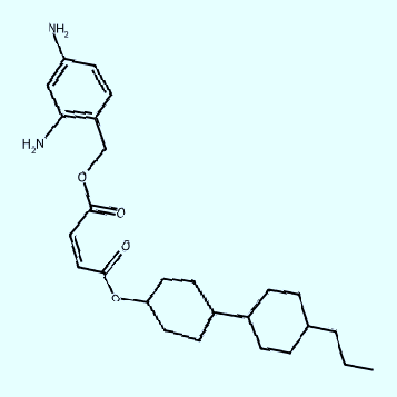 CCCC1CCC(C2CCC(OC(=O)/C=C\C(=O)OCc3ccc(N)cc3N)CC2)CC1